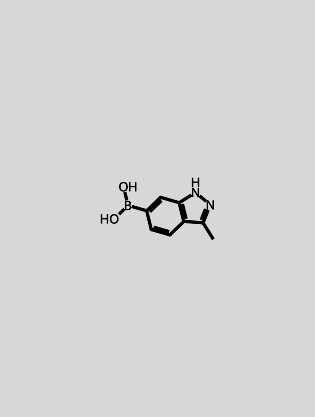 Cc1n[nH]c2cc(B(O)O)ccc12